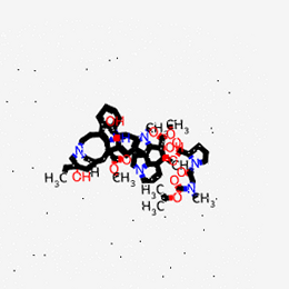 CC[C@]1(O)C[C@@H]2CN(CCc3c([nH]c4ccccc34)C(C(=O)OC)(c3cc4c(cc3CO)N(C)C3C45CCN4CC=C[C@](CC)(C45)[C@@H](OC(=O)C4CCCN4C(=O)CN(C)C(=O)OC(C)C)C3(O)C(=O)OC)C2)C1